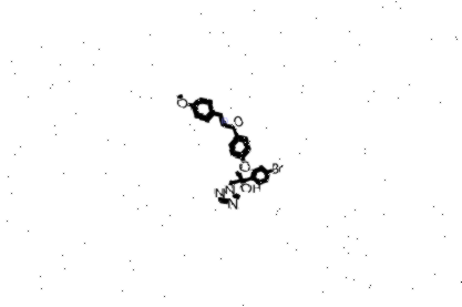 COc1ccc(/C=C/C(=O)c2ccc(OCC(O)(Cn3cncn3)c3ccc(Br)cc3)cc2)cc1